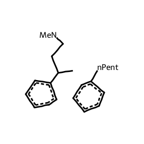 CCCCCc1ccccc1.CNCCC(C)c1ccccc1